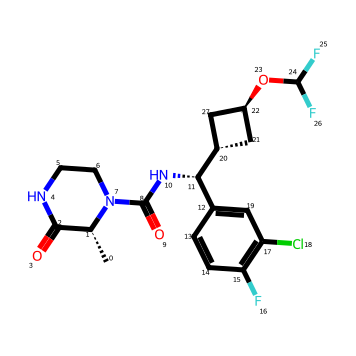 C[C@@H]1C(=O)NCCN1C(=O)N[C@@H](c1ccc(F)c(Cl)c1)[C@H]1C[C@H](OC(F)F)C1